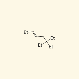 [CH2]C/C=C/CC(CC)(CC)CC